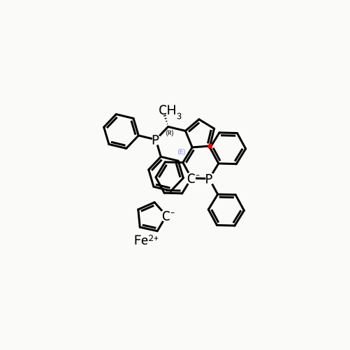 C[C@H](C1=CC=C/C1=C1/C=CC=C[C-]1P(c1ccccc1)c1ccccc1)P(c1ccccc1)c1ccccc1.[Fe+2].c1cc[cH-]c1